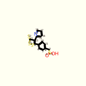 O=S(O)Cc1ccc(-c2ssc(=S)c2-c2ccccn2)cc1